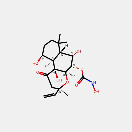 C=C[C@@]1(C)CC(=O)[C@]2(O)[C@@]3(C)[C@@H](O)CCC(C)(C)[C@@H]3[C@H](O)[C@H](OC(=O)NO)[C@@]2(C)O1